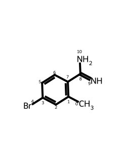 Cc1cc(Br)ccc1C(=N)N